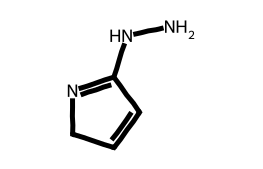 NNC1=NCC=C1